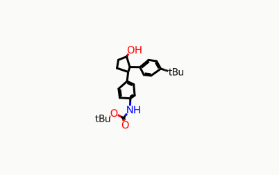 CC(C)(C)OC(=O)Nc1ccc(C2CCC(O)C2c2ccc(C(C)(C)C)cc2)cc1